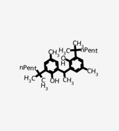 CCCCCC(C)(C)c1cc(C)cc(C(C)c2cc(C)cc(C(C)(C)CCCCC)c2O)c1O